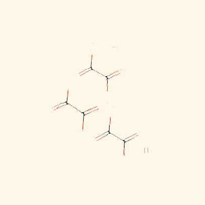 O=C([O-])C(=O)[O-].O=C([O-])C(=O)[O-].O=C([O-])C(=O)[O-].[Tb+3].[Tb+3]